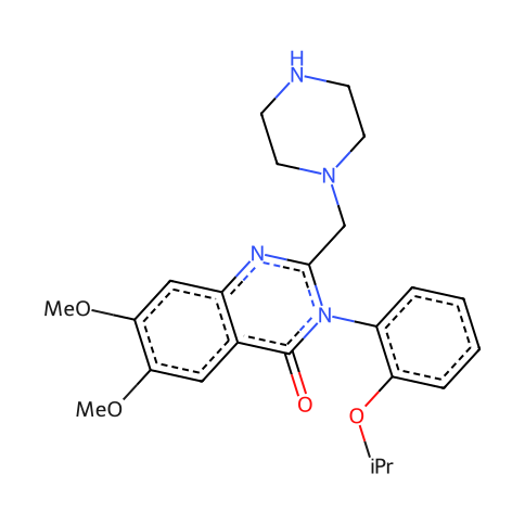 COc1cc2nc(CN3CCNCC3)n(-c3ccccc3OC(C)C)c(=O)c2cc1OC